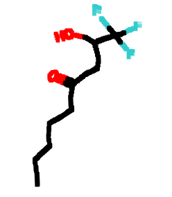 CCCCCC(=O)CC(O)C(F)(F)F